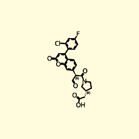 O=C[C@H](C(=O)N1CC[C@H](CC(=O)O)C1)c1ccc2c(-c3ccc(F)cc3Cl)cc(=O)oc2c1